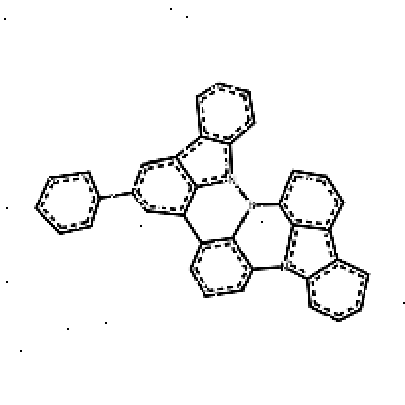 c1ccc(-c2cc3c4c(c2)c2ccccc2n4B2c4c-3cccc4-n3c4ccccc4c4cccc2c43)cc1